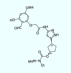 CCN(NC)C(=O)O[C@@H]1CC[C@H](c2cc(NC(=O)COc3cc(OC)cc(O)c3C=O)n[nH]2)C1